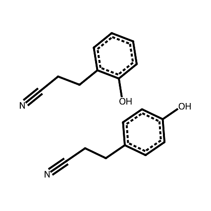 N#CCCc1ccc(O)cc1.N#CCCc1ccccc1O